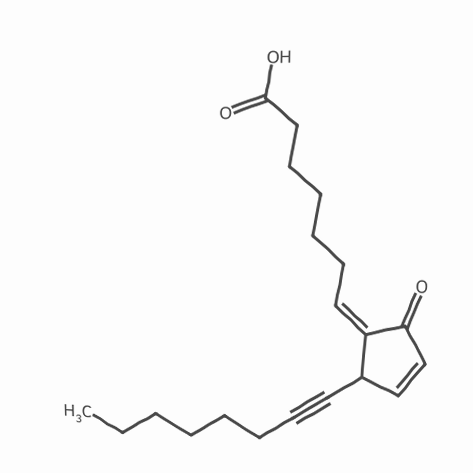 CCCCCCC#CC1C=CC(=O)C1=CCCCCCC(=O)O